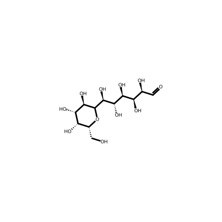 O=C[C@H](O)[C@@H](O)[C@H](O)[C@H](O)[C@H](O)C1O[C@H](CO)[C@H](O)[C@H](O)[C@H]1O